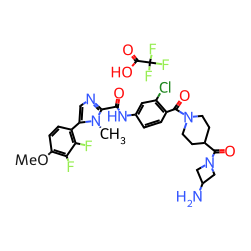 COc1ccc(-c2cnc(C(=O)Nc3ccc(C(=O)N4CCC(C(=O)N5CC(N)C5)CC4)c(Cl)c3)n2C)c(F)c1F.O=C(O)C(F)(F)F